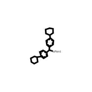 CCCCCC(c1ccc(C2CCCCC2)cc1)c1ccc(C2CCCCC2)cc1